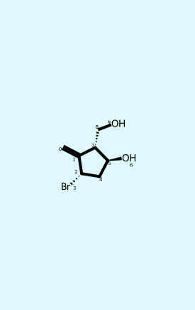 C=C1[C@@H](Br)C[C@H](O)[C@H]1CO